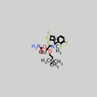 CC(C)(C)C(OCC[Si](C)(C)C)(OC(N)=O)C1=N[C@](C)(c2cccc(F)c2F)[C@@H]2C[C@H](F)[C@]2(F)S1